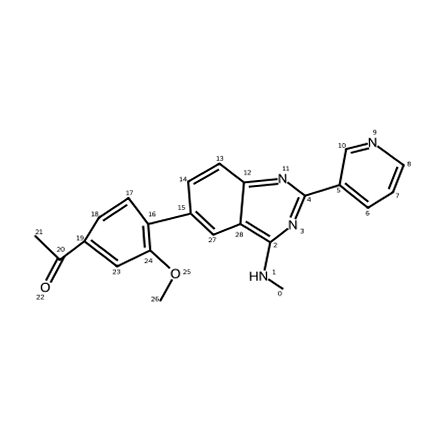 CNc1nc(-c2cccnc2)nc2ccc(-c3ccc(C(C)=O)cc3OC)cc12